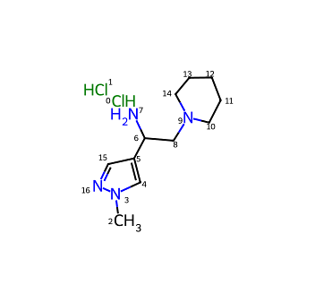 Cl.Cl.Cn1cc(C(N)CN2CCCCC2)cn1